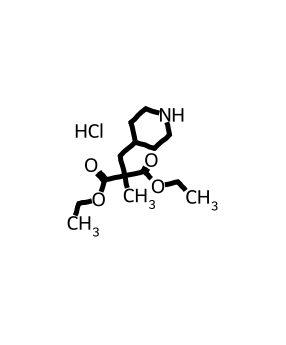 CCOC(=O)C(C)(CC1CCNCC1)C(=O)OCC.Cl